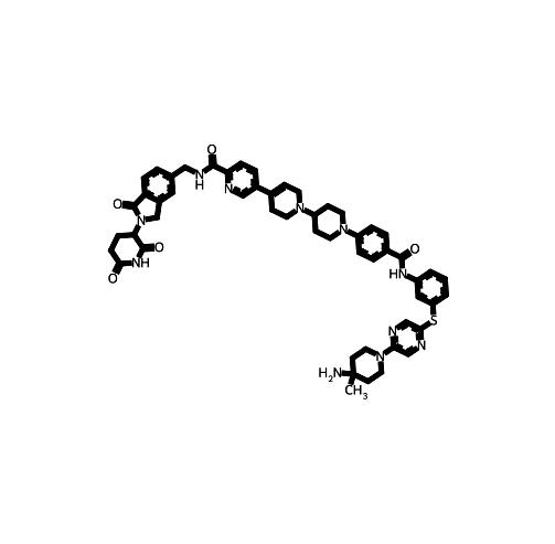 CC1(N)CCN(c2cnc(Sc3cccc(NC(=O)c4ccc(N5CCC(N6CC=C(c7ccc(C(=O)NCc8ccc9c(c8)CN(C8CCC(=O)NC8=O)C9=O)nc7)CC6)CC5)cc4)c3)cn2)CC1